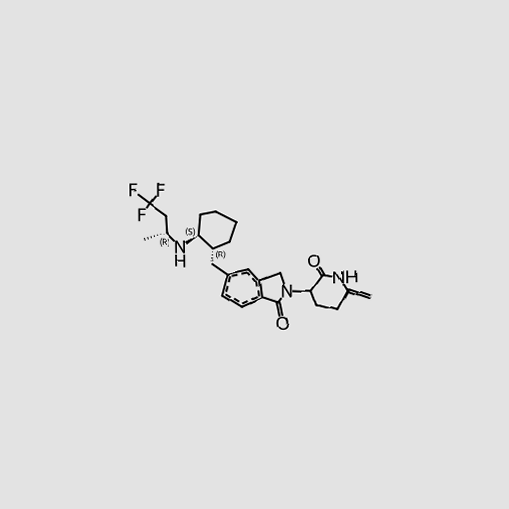 C=C1CCC(N2Cc3cc(C[C@H]4CCCC[C@@H]4N[C@H](C)CC(F)(F)F)ccc3C2=O)C(=O)N1